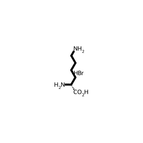 Br.NCCCC[C@@H](N)C(=O)O